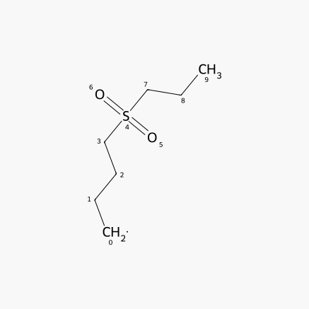 [CH2]CCCS(=O)(=O)CCC